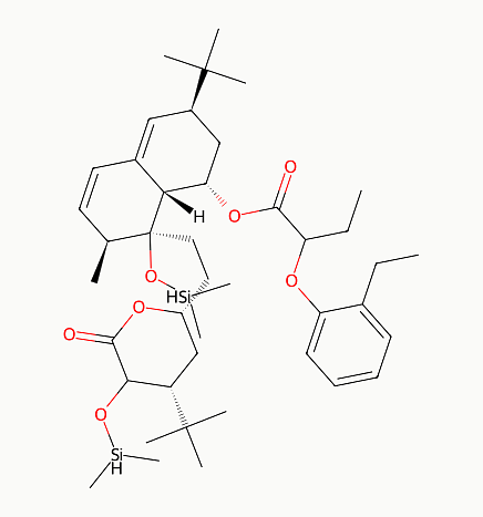 CCc1ccccc1OC(CC)C(=O)O[C@H]1C[C@H](C(C)(C)C)C=C2C=C[C@H](C)[C@](CC[C@@H]3C[C@H](C(C)(C)C)C(O[SiH](C)C)C(=O)O3)(O[SiH](C)C)[C@H]21